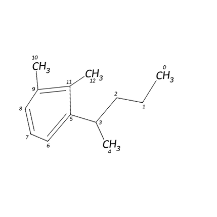 CCCC(C)c1cccc(C)c1C